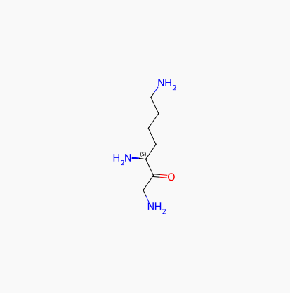 NCCCC[C@H](N)C(=O)CN